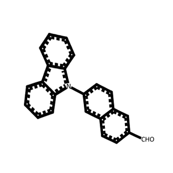 O=Cc1ccc2cc(-n3c4ccccc4c4ccccc43)ccc2c1